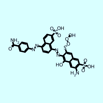 NC(=O)c1ccc(N=Nc2ccc(N=Nc3c(SOOO)cc4cc(S(=O)(=O)O)c(N)cc4c3O)c3cc(S(=O)(=O)O)ccc23)cc1